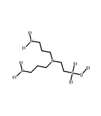 CCO[Si](CC)(CC)CCN(CCCN(CC)CC)CCCN(CC)CC